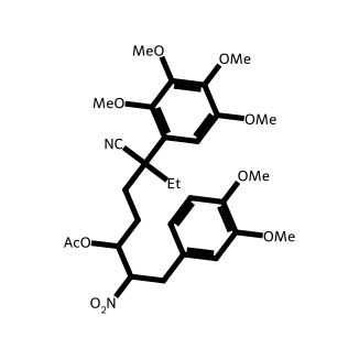 CCC(C#N)(CCC(OC(C)=O)C(Cc1ccc(OC)c(OC)c1)[N+](=O)[O-])c1cc(OC)c(OC)c(OC)c1OC